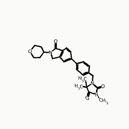 CN1C(=O)N(Cc2ccc(-c3ccc4c(c3)CN(C3CCOCC3)C4=O)cc2)C(C)(C)C1=O